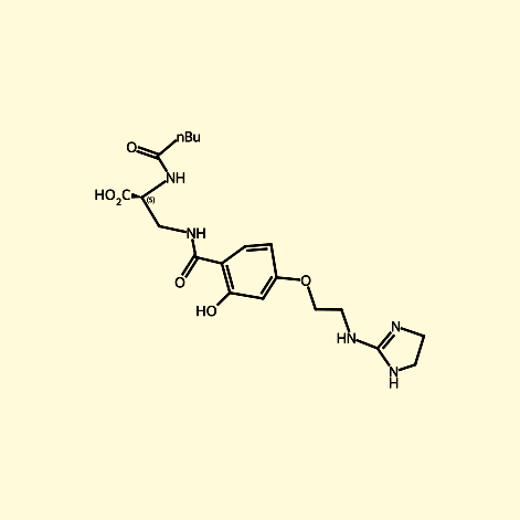 CCCCC(=O)N[C@@H](CNC(=O)c1ccc(OCCNC2=NCCN2)cc1O)C(=O)O